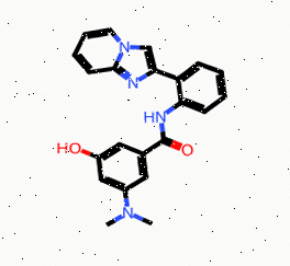 CN(C)c1cc(O)cc(C(=O)Nc2ccccc2-c2cn3ccccc3n2)c1